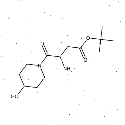 CC(C)(C)OC(=O)CC(N)C(=O)N1CCC(O)CC1